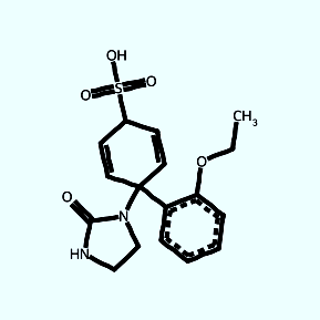 CCOc1ccccc1C1(N2CCNC2=O)C=CC(S(=O)(=O)O)C=C1